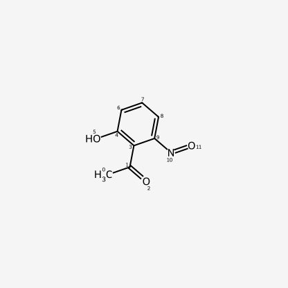 CC(=O)c1c(O)cccc1N=O